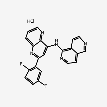 Cl.Fc1ccc(F)c(-c2cc(Nc3nccc4cnccc34)c3ncccc3n2)c1